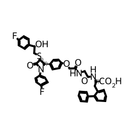 O=C(COc1ccc([C@@H]2[C@@H](SCC(O)c3ccc(F)cc3)C(=O)N2c2ccc(F)cc2)cc1)NCC(=O)N[C@H](Cc1ccccc1-c1ccccc1)C(=O)O